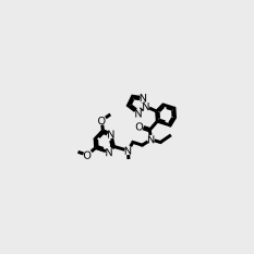 CCN(CCN(C)c1nc(OC)cc(OC)n1)C(=O)c1ccccc1-n1nccn1